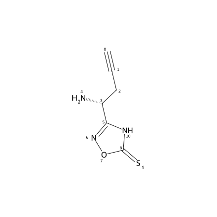 C#CC[C@@H](N)c1noc(=S)[nH]1